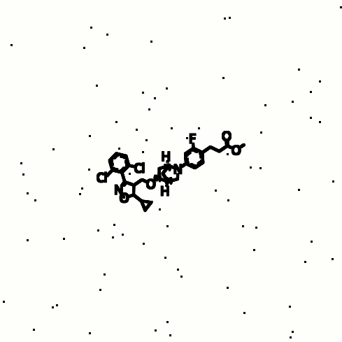 COC(=O)CCc1ccc(N2C[C@@H]3C[C@H]2C[C@H]3OCC2C(c3c(Cl)cccc3Cl)=NOC2C2CC2)cc1F